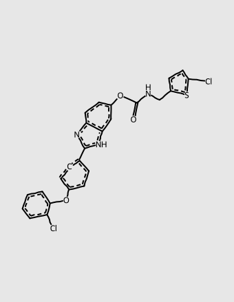 O=C(NCc1ccc(Cl)s1)Oc1ccc2nc(-c3ccc(Oc4ccccc4Cl)cc3)[nH]c2c1